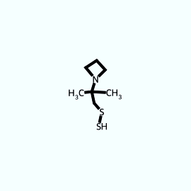 CC(C)(CSS)N1CCC1